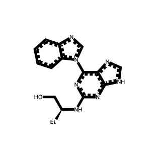 CC[C@@H](CO)Nc1nc(-n2cnc3ccccc32)c2nc[nH]c2n1